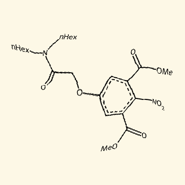 CCCCCCN(CCCCCC)C(=O)COc1cc(C(=O)OC)c([N+](=O)[O-])c(C(=O)OC)c1